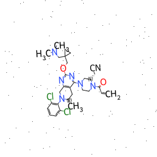 C=CC(=O)N1CCN(c2nc(OCC3(CN(C)C)CC3)nc3c2C[C@@H](C)N(c2c(Cl)cccc2Cl)C3)C[C@@H]1CC#N